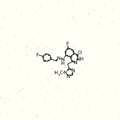 Cn1ncnc1Cc1n[nH]c(=O)c2cc(F)cc(NN=Cc3ccc(F)cc3)c12